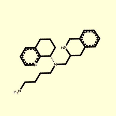 NCCCCN(CC1Cc2ccccc2CN1)[C@H]1CCCc2cccnc21